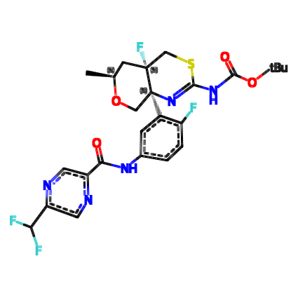 C[C@H]1C[C@@]2(F)CSC(NC(=O)OC(C)(C)C)=N[C@@]2(c2cc(NC(=O)c3cnc(C(F)F)cn3)ccc2F)CO1